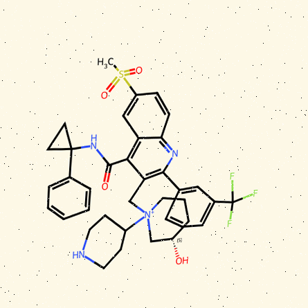 CS(=O)(=O)c1ccc2nc(-c3cccc(C(F)(F)F)c3)c(C[N+]3(C4CCNCC4)CCC[C@H](O)C3)c(C(=O)NC3(c4ccccc4)CC3)c2c1